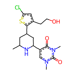 CC1CC(c2sc(Cl)cc2CCO)CC(c2cn(C)c(=O)n(C)c2=O)N1